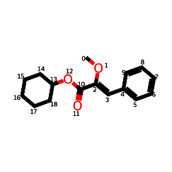 COC(=Cc1ccccc1)C(=O)OC1CCCCC1